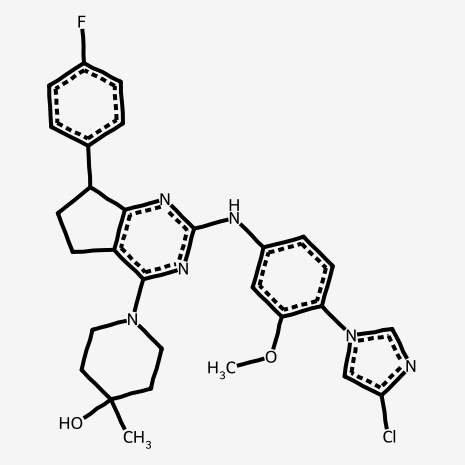 COc1cc(Nc2nc3c(c(N4CCC(C)(O)CC4)n2)CCC3c2ccc(F)cc2)ccc1-n1cnc(Cl)c1